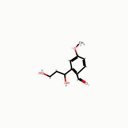 COc1ccc(C=O)c(C(O)CCO)c1